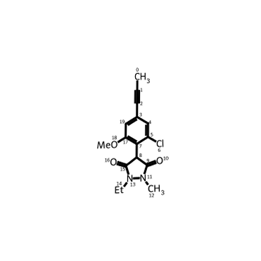 CC#Cc1cc(Cl)c(C2C(=O)N(C)N(CC)C2=O)c(OC)c1